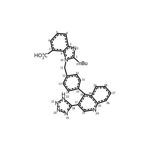 CCCCc1nc2cccc(C(=O)O)c2n1Cc1ccc(-c2c(-c3nnn[nH]3)cnc3ccccc23)cc1